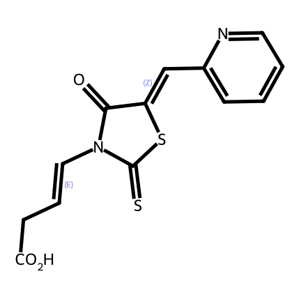 O=C(O)C/C=C/N1C(=O)/C(=C/c2ccccn2)SC1=S